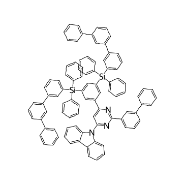 c1ccc(-c2cccc(-c3cccc([Si](c4ccccc4)(c4ccccc4)c4cc(-c5cc(-n6c7ccccc7c7ccccc76)nc(-c6cccc(-c7ccccc7)c6)n5)cc([Si](c5ccccc5)(c5ccccc5)c5cccc(-c6cccc(-c7ccccc7)c6)c5)c4)c3)c2)cc1